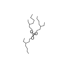 CCCCC(CC)CCOP(OCCC(CC)CCCC)OCCC(CC)CCCC